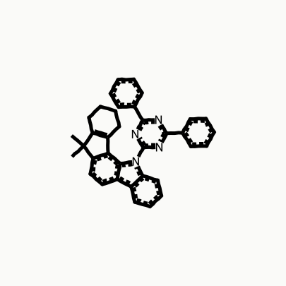 CC1(C)C2=C(CCCC2)c2c1ccc1c3ccccc3n(-c3nc(-c4ccccc4)nc(-c4ccccc4)n3)c21